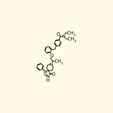 CCN(CC)C(=O)c1ccc(Cc2ccccc2OCC(C)N2CCC3(CC2)C(=O)NCN3c2ccccc2)cc1